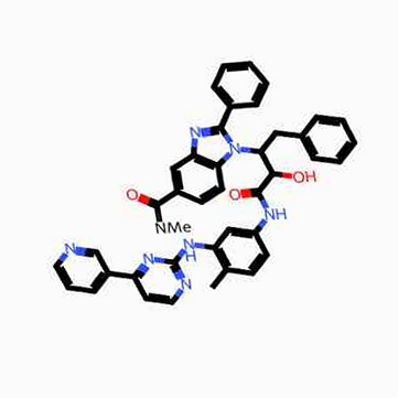 CNC(=O)c1ccc2c(c1)nc(-c1ccccc1)n2C(Cc1ccccc1)C(O)C(=O)Nc1ccc(C)c(Nc2nccc(-c3cccnc3)n2)c1